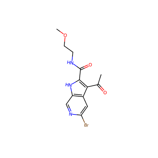 COCCNC(=O)c1[nH]c2cnc(Br)cc2c1C(C)=O